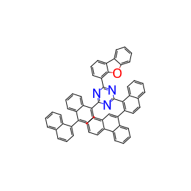 c1ccc2c(-c3ccc(-c4nc(-c5c(-c6cc7ccccc7c7ccccc67)ccc6ccccc56)nc(-c5cccc6c5oc5ccccc56)n4)c4ccccc34)cccc2c1